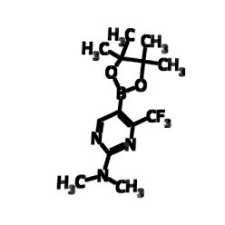 CN(C)c1ncc(B2OC(C)(C)C(C)(C)O2)c(C(F)(F)F)n1